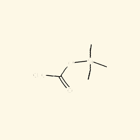 C[Si](C)(C)OC(=O)C(Cl)(Cl)Cl